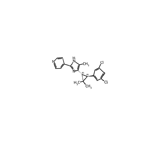 Cc1[nH]c(-c2ccncc2)nc1[C@@H]1[C@@H](c2cc(Cl)cc(Cl)c2)C1(C)C